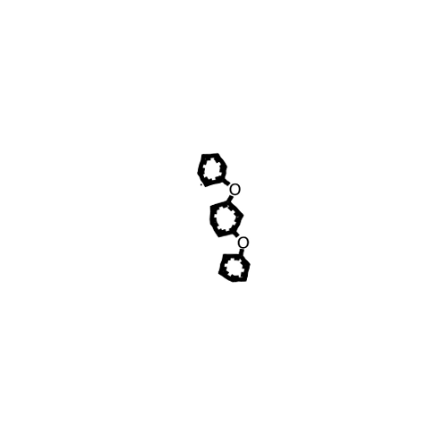 [c]1ccccc1Oc1cccc(Oc2ccccc2)c1